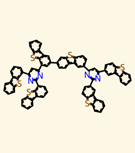 c1ccc2c(c1)sc1ccc(-c3cc(-c4ccc5sc6cc(-c7cc(-c8cc(-c9cccc%10c9sc9ccccc9%10)nc(-c9cccc%10c9sc9ccccc9%10)n8)c8sc9ccccc9c8c7)ccc6c5c4)nc(-c4ccc5sc6ccccc6c5c4)n3)cc12